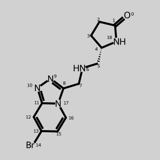 O=C1CC[C@@H](CNCc2nnc3cc(Br)ccn23)N1